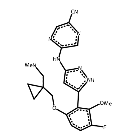 CNCC1(COc2ccc(F)c(OC)c2-c2cc(Nc3cnc(C#N)cn3)n[nH]2)CC1